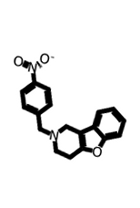 O=[N+]([O-])c1ccc(CN2CCc3oc4ccccc4c3C2)cc1